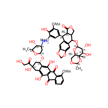 COc1cc([C@@H]2c3cc4c(cc3C(O[C@@H]3O[C@@H]5CO[C@@H](C)O[C@H]5[C@H](O)[C@H]3O)C3COC(=O)[C@@H]32)OCO4)cc(OC)c1O.COc1cccc2c1C(=O)c1c(O)c3c(c(O)c1C2=O)C[C@@](O)(C(=O)CO)C[C@@H]3O[C@H]1C[C@H](N)[C@@H](O)[C@H](C)O1